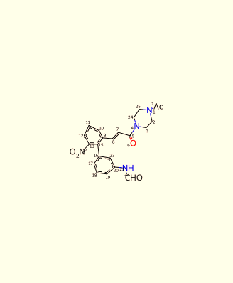 CC(=O)N1CCN(C(=O)/C=C/c2cc[c]c([N+](=O)[O-])c2-c2cccc(NC=O)c2)CC1